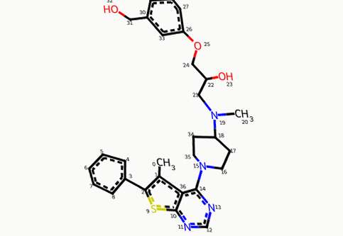 Cc1c(-c2ccccc2)sc2ncnc(N3CCC(N(C)CC(O)COc4cccc(CO)c4)CC3)c12